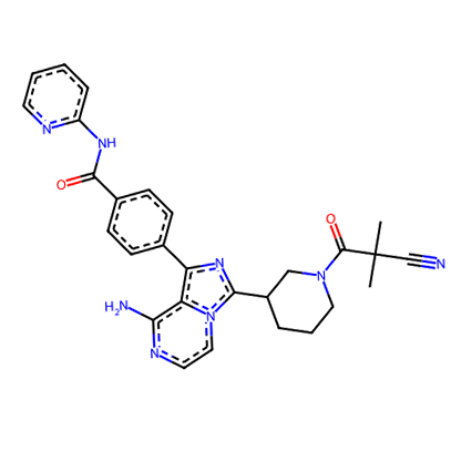 CC(C)(C#N)C(=O)N1CCCC(c2nc(-c3ccc(C(=O)Nc4ccccn4)cc3)c3c(N)nccn23)C1